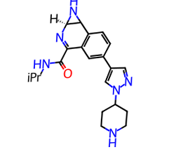 CC(C)NC(=O)C1=N[C@H]2NC2c2ccc(-c3cnn(C4CCNCC4)c3)cc21